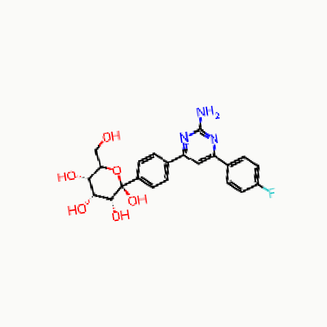 Nc1nc(-c2ccc(F)cc2)cc(-c2ccc([C@@]3(O)O[C@H](CO)[C@@H](O)[C@@H](O)[C@H]3O)cc2)n1